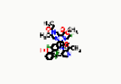 C=CC(=O)N1CC2C(C(=O)OC)N(CCF)c3c(c4cc(F)c(-c5c(O)cccc5F)c(F)c4n(-c4c(C)ccnc4C(C)C)c3=O)N2CC1C